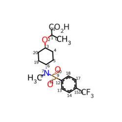 CC(O[C@H]1CC[C@H](N(C)S(=O)(=O)c2ccc(C(F)(F)F)cc2)CC1)C(=O)O